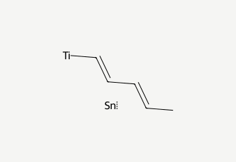 CC=CC=[CH][Ti].[Sn]